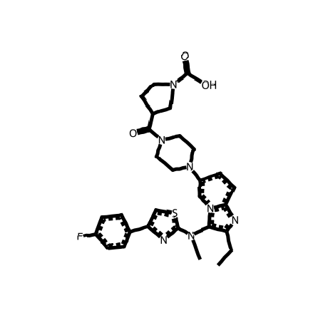 CCc1nc2ccc(N3CCN(C(=O)C4CCN(C(=O)O)C4)CC3)cn2c1N(C)c1nc(-c2ccc(F)cc2)cs1